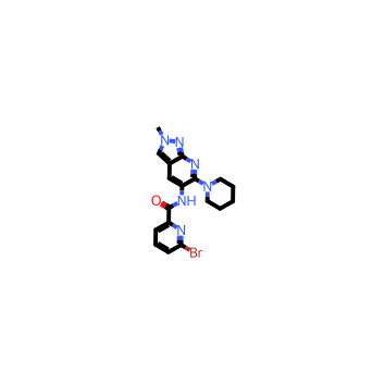 Cn1cc2cc(NC(=O)c3cccc(Br)n3)c(N3CCCCC3)nc2n1